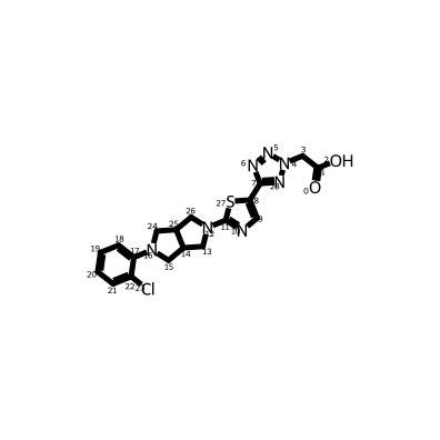 O=C(O)Cn1nnc(-c2cnc(N3CC4CN(c5ccccc5Cl)CC4C3)s2)n1